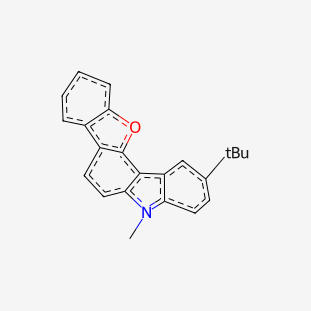 Cn1c2ccc(C(C)(C)C)cc2c2c3oc4ccccc4c3ccc21